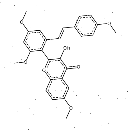 COc1ccc(C=Cc2cc(OC)cc(OC)c2-c2oc3ccc(OC)cc3c(=O)c2O)cc1